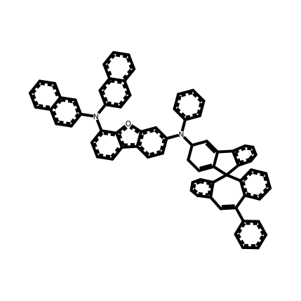 C1=C2C(=CCC1N(c1ccccc1)c1ccc3c(c1)oc1c(N(c4ccc5ccccc5c4)c4ccc5ccccc5c4)cccc13)C1(c3ccccc3C=C(c3ccccc3)c3ccccc31)c1ccccc12